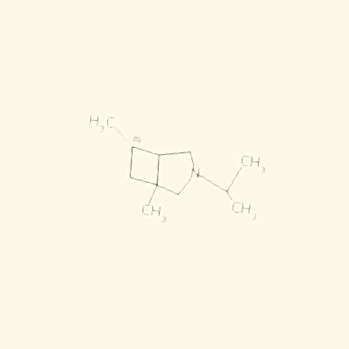 CC(C)N1CC2[C@@H](C)CC2(C)C1